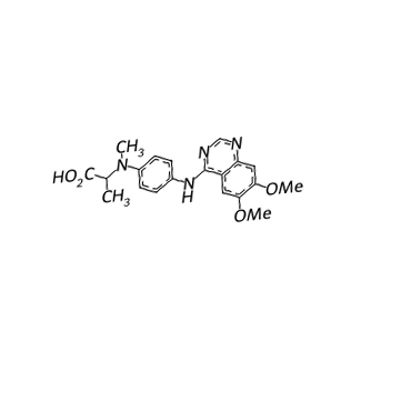 COc1cc2ncnc(Nc3ccc(N(C)C(C)C(=O)O)cc3)c2cc1OC